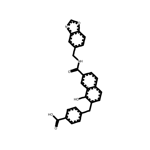 O=C(O)c1ccc(Cc2ccc3ccc(C(=O)NCc4ccc5ocnc5c4)cc3c2O)cc1